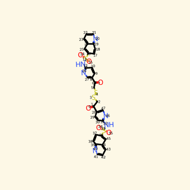 O=C(CSSCC(=O)c1ccc(NS(=O)(=O)c2ccc3ncccc3c2)nc1)c1ccc(NS(=O)(=O)c2ccc3ncccc3c2)nc1